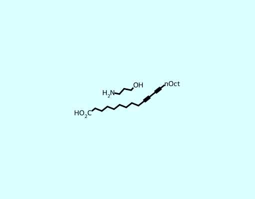 CCCCCCCCC#CC#CCCCCCCCCC(=O)O.NCCCO